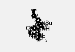 CC(C)(C)C[C@]1(c2ccc(-c3ccn(C4CC4)n3)cc2)NC(=N)C([C@H](COC(=O)NC2(C(F)(F)F)CC2)c2ccc(Cl)c(-n3ncnc3C(F)F)c2)C1=O